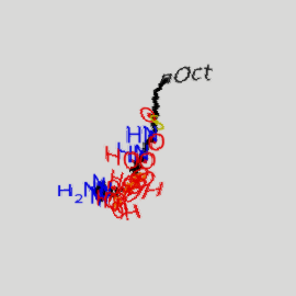 CCCCCCCC/C=C/CCCCCCCC(=O)SCCNC(=O)CCNC(=O)[C@H](O)C(C)(C)COP(=O)(O)OP(=O)(O)OC[C@H]1O[C@@H](n2cnc3c(N)ncnc32)[C@H](O)[C@@H]1OP(=O)(O)O